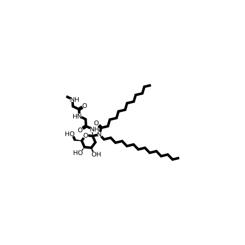 CCCCCCCCCCCCCCN(C(=O)CCCCCCCCCCC)[C@@]1(NC(=O)CNC(=O)CNC)C[C@@H](O)[C@H](O)[C@@H](CO)O1